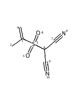 C=C(C)S(=O)(=O)C(C#N)C#N